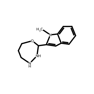 Cn1c(C2NNCCCO2)cc2ccccc21